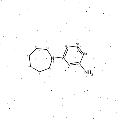 Nc1[c]c(N2CCCCCC2)ccc1